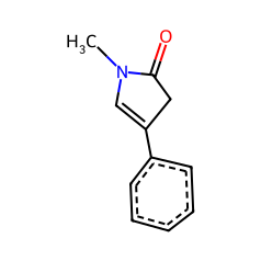 CN1C=C(c2ccccc2)CC1=O